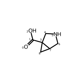 O=C(O)C12CNCC1C2